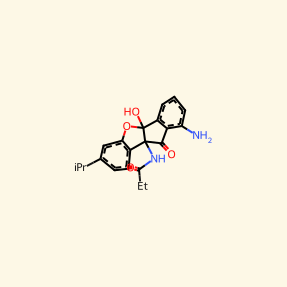 CCC(=O)NC12C(=O)c3c(N)cccc3C1(O)Oc1cc(C(C)C)ccc12